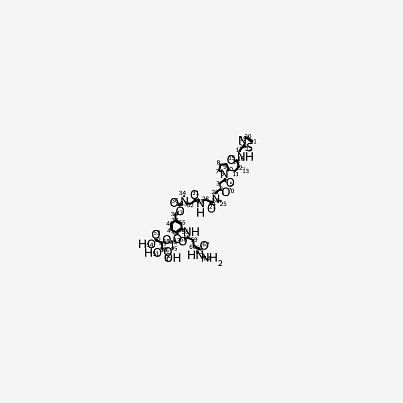 CO[C@H](CC(=O)N1CCC[C@H]1C[C@@H](C)C(=O)NCc1nccs1)CN(C)C(=O)CNC(=O)CN(C)C(=O)OCc1ccc(O[C@@H](COO)OC(CO)C(=O)O)c(NC(=O)CCC(=O)NN)c1